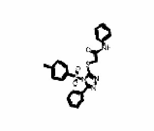 Cc1ccc(S(=O)(=O)n2c(SCC(=O)Nc3ccccc3)nnc2-c2ccccc2)cc1